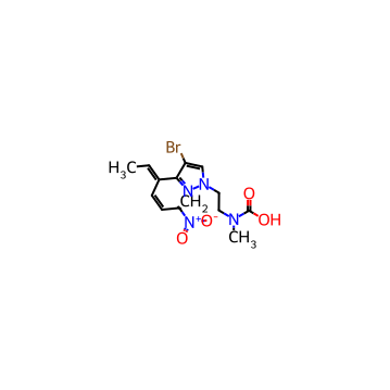 C=C(/C=C\C(=C/C)c1nn(CCN(C)C(=O)O)cc1Br)[N+](=O)[O-]